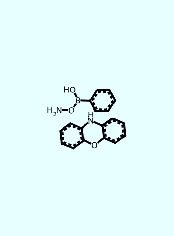 NOB(O)c1ccccc1.c1ccc2c(c1)Nc1ccccc1O2